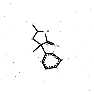 CC1CC(C)(c2ccccc2)C(=O)O1